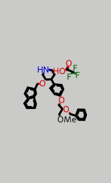 COCC(COc1ccc(C2CCNCC2OCc2ccc3ccccc3c2)cc1)OCc1ccccc1.O=C(O)C(F)(F)F